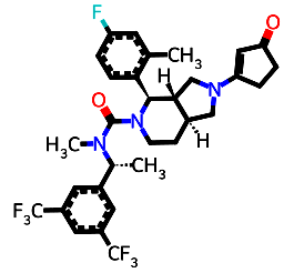 Cc1cc(F)ccc1[C@H]1[C@@H]2CN(C3=CC(=O)CC3)C[C@H]2CCN1C(=O)N(C)[C@H](C)c1cc(C(F)(F)F)cc(C(F)(F)F)c1